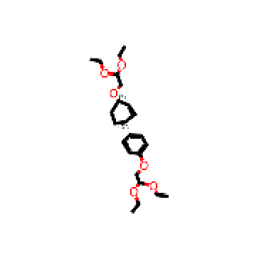 CCOC(COc1ccc([C@H]2C=C[C@@H](OCC(OCC)OCC)CC2)cc1)OCC